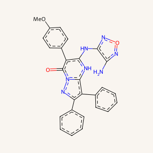 COc1ccc(-c2c(Nc3nonc3N)[nH]c3c(-c4ccccc4)c(-c4ccccc4)nn3c2=O)cc1